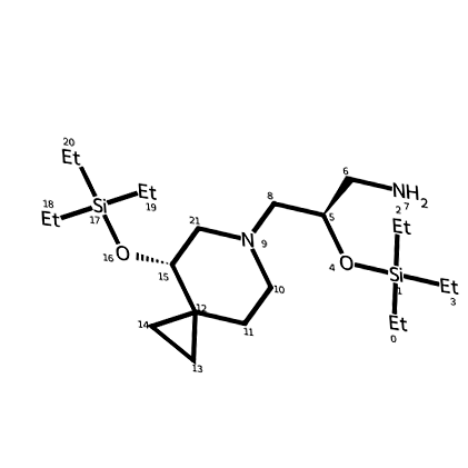 CC[Si](CC)(CC)O[C@H](CN)CN1CCC2(CC2)[C@H](O[Si](CC)(CC)CC)C1